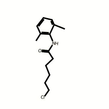 Cc1cccc(C)c1NC(=O)CCCCCCl